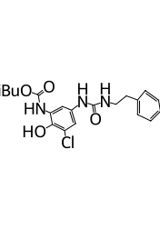 CC(C)COC(=O)Nc1cc(NC(=O)NCCc2ccccc2)cc(Cl)c1O